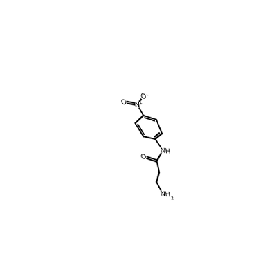 NCCC(=O)Nc1ccc([N+](=O)[O-])cc1